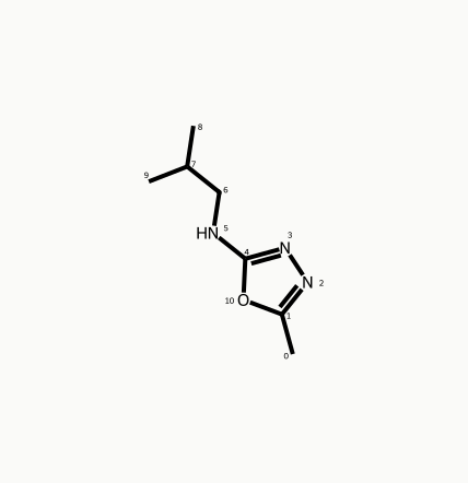 Cc1nnc(NCC(C)C)o1